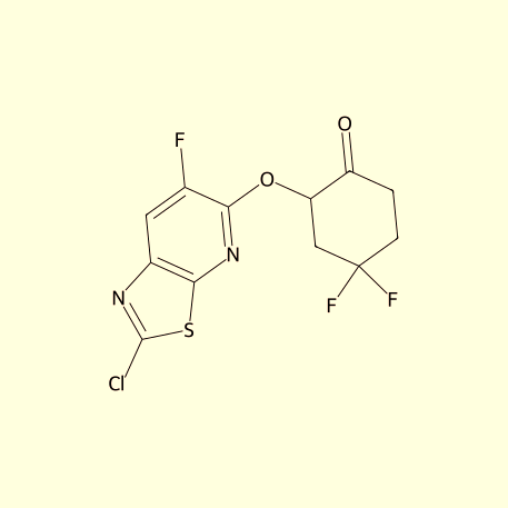 O=C1CCC(F)(F)CC1Oc1nc2sc(Cl)nc2cc1F